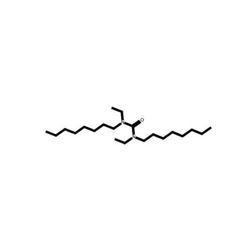 CCCCCCCCN(CC)C(=O)N(CC)CCCCCCCC